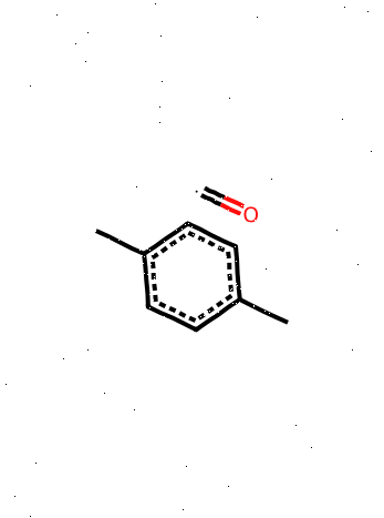 Cc1ccc(C)cc1.[CH]=O